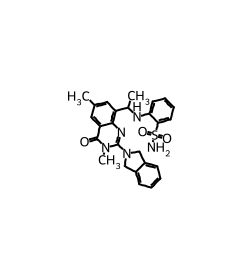 Cc1cc(C(C)Nc2ccccc2S(N)(=O)=O)c2nc(N3Cc4ccccc4C3)n(C)c(=O)c2c1